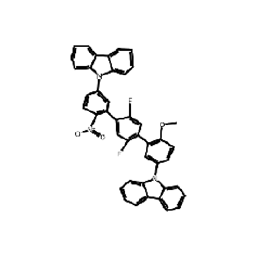 COc1ccc(-n2c3ccccc3c3ccccc32)cc1-c1cc(F)c(-c2cc(-n3c4ccccc4c4ccccc43)ccc2[N+](=O)[O-])cc1F